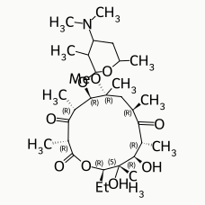 CC[C@H]1OC(=O)[C@H](C)C(=O)[C@H](C)[C@@H](OC2OC(C)CC(N(C)C)C2C)[C@](C)(OC)C[C@@H](C)C(=O)[C@H](C)[C@@H](O)[C@]1(C)O